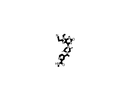 CCn1c(CC#N)nc2c(N3C[C@@H](C)N(C(C)c4ccnc(C(=O)NC)c4)C[C@@H]3C)nc(=O)n(C)c21